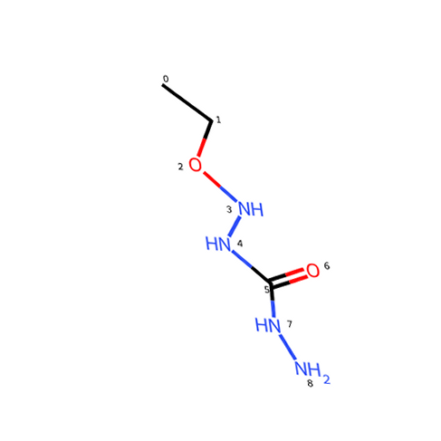 CCONNC(=O)NN